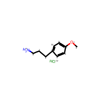 COc1ccc(CCCN)cc1.Cl